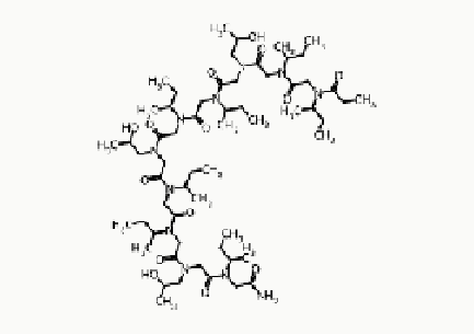 CCC(=O)N(CC(=O)N(CC(=O)N(CC(=O)N(CC(=O)N(CC(=O)N(CC(=O)N(CC(=O)N(CC(=O)N(CC(=O)N(CC(N)=O)C(C)CC)CC(C)O)C(C)CC)C(C)CC)CC(C)O)C(C)CC)C(C)CC)CC(C)O)C(C)CC)C(C)CC